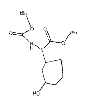 CC(C)(C)OC(=O)NN(C(=O)OC(C)(C)C)C1CCCC(O)C1